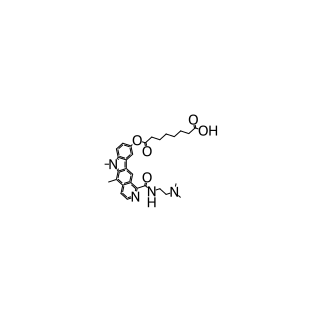 Cc1c2ccnc(C(=O)NCCN(C)C)c2cc2c3cc(OC(=O)CCCCCCC(=O)O)ccc3n(C)c12